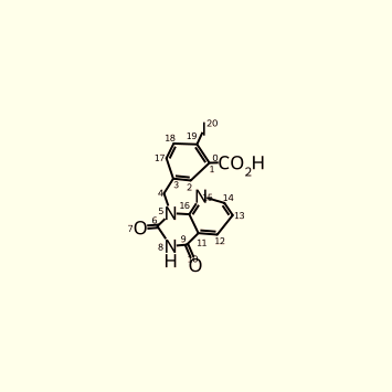 O=C(O)c1cc(Cn2c(=O)[nH]c(=O)c3cccnc32)ccc1I